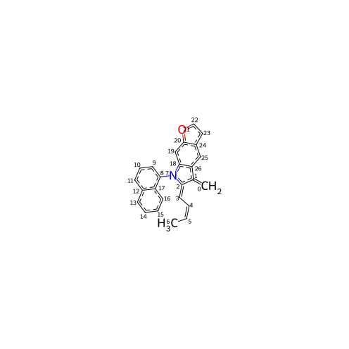 C=c1/c(=C\C=C/C)n(-c2cccc3ccccc23)c2cc3occc3cc12